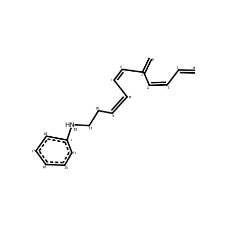 C=C/C=C\C(=C)/C=C\C=C/CCNc1ccccc1